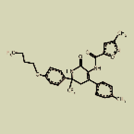 Cc1ccc(C2=C(NC(=O)c3cc(C)no3)C(=O)NC(c3ccc(OCCCC(F)(F)F)cc3)(C(F)(F)F)C2)cc1